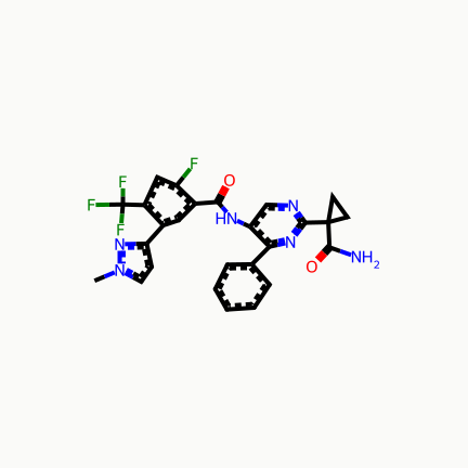 Cn1ccc(-c2cc(C(=O)Nc3cnc(C4(C(N)=O)CC4)nc3-c3ccccc3)c(F)cc2C(F)(F)F)n1